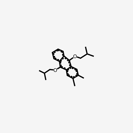 Cc1cc2c(OCC(C)C)c3ccccc3c(OCC(C)C)c2cc1C